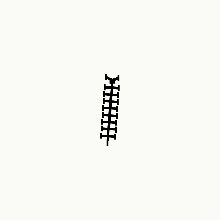 IN(I)C(I)(I)C(I)(I)C(I)(I)C(I)(I)C(I)(I)C(I)(I)C(I)(I)C(I)(I)I